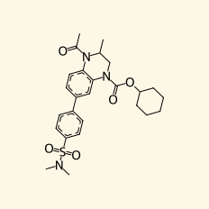 CC(=O)N1c2ccc(-c3ccc(S(=O)(=O)N(C)C)cc3)cc2N(C(=O)OC2CCCCC2)CC1C